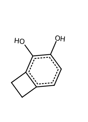 Oc1ccc2c(c1O)CC2